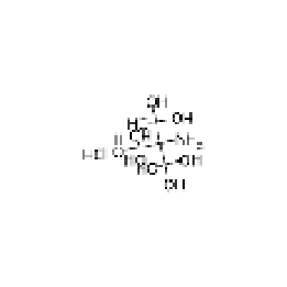 Cl.NC(C(O)(O)O)(C(O)(O)O)C(O)(O)O